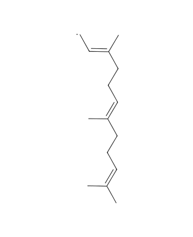 [CH2]C=C(C)CC/C=C(\C)CCC=C(C)C